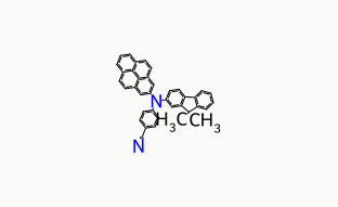 CC1(C)c2ccccc2-c2ccc(N(c3ccc(C#N)cc3)c3cc4ccc5cccc6ccc(c3)c4c56)cc21